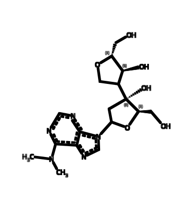 CN(C)c1ncnc2c1ncn2C1C[C@@](O)(C2CO[C@H](CO)[C@H]2O)[C@@H](CO)O1